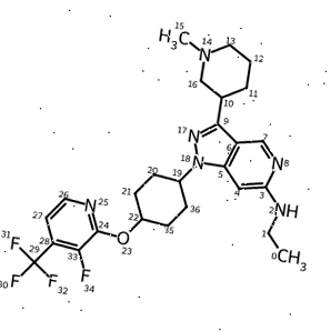 CCNc1cc2c(cn1)c(C1CCCN(C)C1)nn2C1CCC(Oc2nccc(C(F)(F)F)c2F)CC1